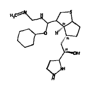 C=NCNC(OC1CCCCC1)C1CSC2CC[C@H](C[C@@H](O)C3CCNN3)[C@H]21